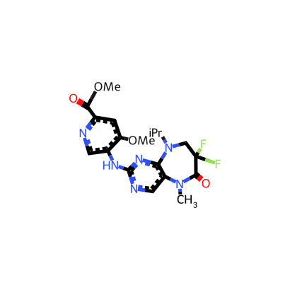 COC(=O)c1cc(OC)c(Nc2ncc3c(n2)N(C(C)C)CC(F)(F)C(=O)N3C)cn1